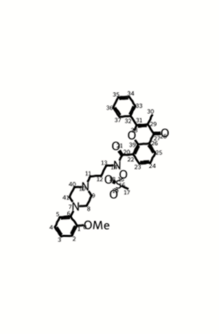 COc1ccccc1N1CCN(CCCN(OS(C)(=O)=O)C(=O)c2cccc3c(=O)c(C)c(-c4ccccc4)oc23)CC1